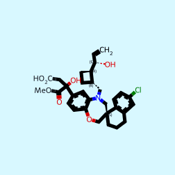 C=C[C@H](O)[C@@H]1CC[C@H]1CN1C[C@@]2(CCCc3cc(Cl)ccc32)COc2ccc(C(O)(CC(=O)O)C(=O)OC)cc21